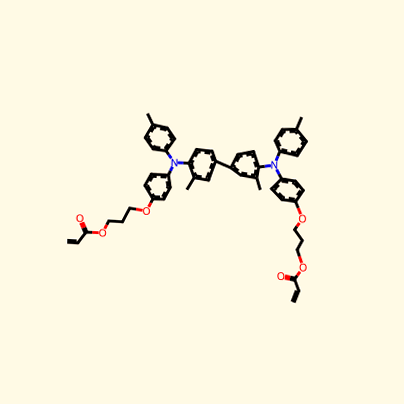 C=CC(=O)OCCCOc1ccc(N(c2ccc(C)cc2)c2ccc(-c3ccc(N(c4ccc(C)cc4)c4ccc(OCCCOC(=O)C=C)cc4)c(C)c3)cc2C)cc1